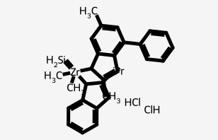 CC1=Cc2c(-c3ccccc3)cc(C)cc2[CH]1[Zr]([CH3])([CH3])(=[SiH2])[CH]1C(C(C)C)=Cc2ccccc21.Cl.Cl